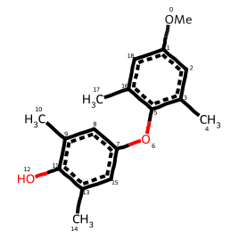 COc1cc(C)c(Oc2cc(C)c(O)c(C)c2)c(C)c1